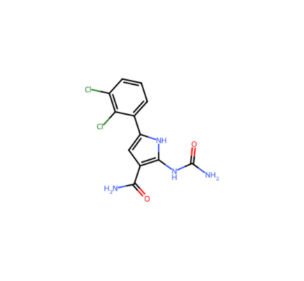 NC(=O)Nc1[nH]c(-c2cccc(Cl)c2Cl)cc1C(N)=O